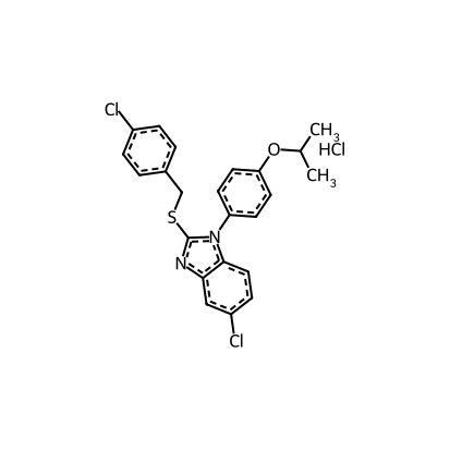 CC(C)Oc1ccc(-n2c(SCc3ccc(Cl)cc3)nc3cc(Cl)ccc32)cc1.Cl